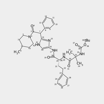 CC1CCN(C(=O)C(c2ccccc2)c2nc(NC(=O)[C@@H](CCc3ccccc3)NC(=O)C(C)(C)NC(=O)OC(C)(C)C)c[nH]2)CC1